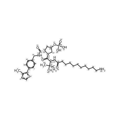 Cc1ncsc1-c1ccc(CNC(=O)[C@@H]2C[C@@H](OP(=O)(O)O)CN2C(=O)[C@@H](NC(=O)CCCCCCCCCCN)C(C)(C)C)cc1